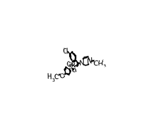 CCOc1ccc(S(=O)(=O)n2cc(N3CCN(CC)CC3)c3ccc(Cl)cc32)cc1